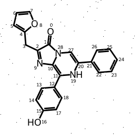 O=c1c(Cc2ccco2)nc2c(-c3ccc(O)cc3)[nH]c(-c3ccccc3)cn1-2